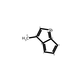 CC1=[C][Sb]=[C]2C=CC=C12